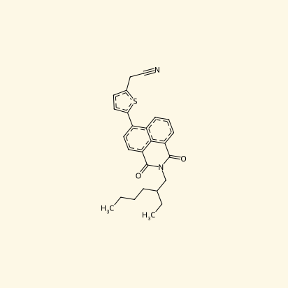 CCCCC(CC)CN1C(=O)c2cccc3c(-c4ccc(CC#N)s4)ccc(c23)C1=O